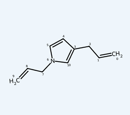 C=CCc1ccn(CC=C)c1